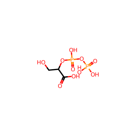 O=C(O)C(CO)OP(=O)(O)OP(=O)(O)O